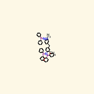 Cc1cc(Cc2ccc(N(P(c3ccccc3)c3ccccc3)P(c3ccccc3)c3ccccc3)c(C)c2)ccc1NP(c1ccccc1)c1ccccc1